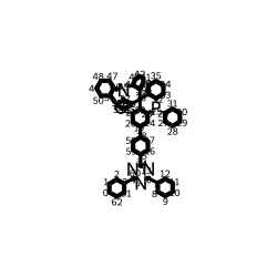 c1ccc(-c2nc(-c3ccccc3)nc(-c3ccc(-c4ccc5c(c4)[P@](c4ccccc4)c4ccccc4C54c5ccccc5-n5c6ccccc6c6cccc4c65)cc3)n2)cc1